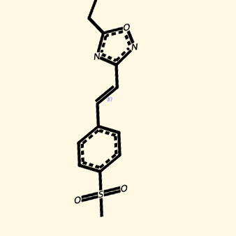 CCc1nc(/C=C/c2ccc(S(C)(=O)=O)cc2)no1